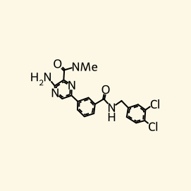 CNC(=O)c1nc(-c2cccc(C(=O)NCc3ccc(Cl)c(Cl)c3)c2)cnc1N